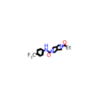 CCC(=O)N1CC2CN(C(=O)Nc3ccc(C(F)(F)F)cc3)CC2C1